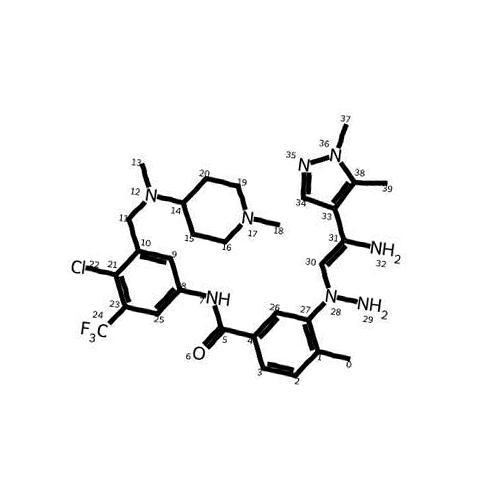 Cc1ccc(C(=O)Nc2cc(CN(C)C3CCN(C)CC3)c(Cl)c(C(F)(F)F)c2)cc1N(N)/C=C(\N)c1cnn(C)c1C